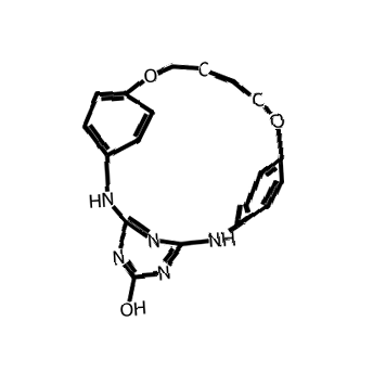 Oc1nc2nc(n1)Nc1ccc(cc1)OCCCCOc1ccc(cc1)N2